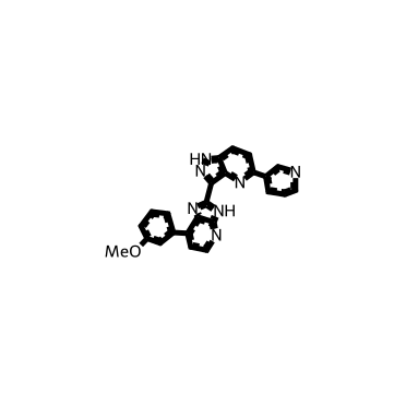 COc1cccc(-c2ccnc3[nH]c(-c4n[nH]c5ccc(-c6cccnc6)nc45)nc23)c1